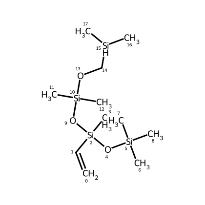 C=C[Si](C)(O[Si](C)(C)C)O[Si](C)(C)OC[SiH](C)C